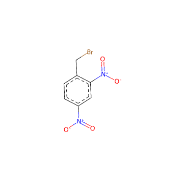 O=[N+]([O-])c1ccc(CBr)c([N+](=O)[O-])c1